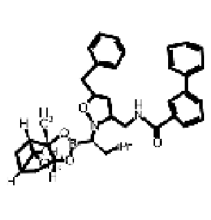 CC(C)C[C@@H](B1O[C@@H]2C[C@@H]3C[C@@H](C3(C)C)[C@]2(C)O1)N1OC(Cc2ccccc2)CC1CNC(=O)c1cccc(-c2ccccc2)c1